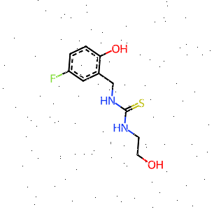 OCCNC(=S)NCc1cc(F)ccc1O